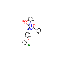 O=C(Nc1ccccc1O)C(=Cc1ccc(Oc2ccccc2Br)cc1)NC(=O)c1ccccc1